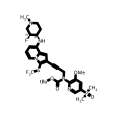 COc1cc(P(C)(C)=O)cnc1N(CC#Cc1cc2c(N[C@@H]3CCN(C)C[C@@H]3F)cccn2c1SC(F)(F)F)C(=O)OC(C)(C)C